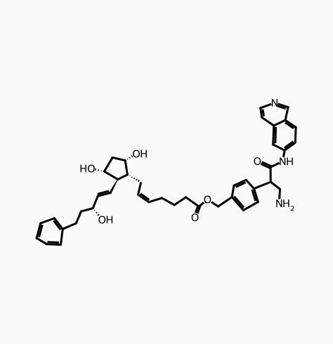 NCC(C(=O)Nc1ccc2cnccc2c1)c1ccc(COC(=O)CCC/C=C\C[C@@H]2[C@@H](/C=C/[C@H](O)CCc3ccccc3)[C@H](O)C[C@@H]2O)cc1